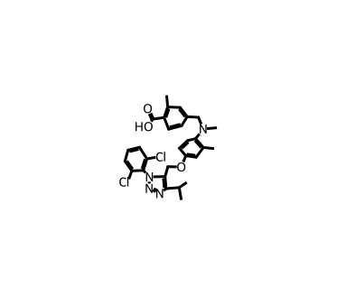 Cc1cc(CN(C)c2ccc(OCc3c(C(C)C)nnn3-c3c(Cl)cccc3Cl)cc2C)ccc1C(=O)O